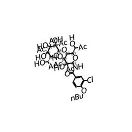 CCCCOc1ccc(C(=O)N[C@@H]2O[C@H](C(O)C(C)=O)[C@@H](O[C@@H]3O[C@H](C(O)C(C)=O)[C@](O)(C(C)=O)[C@@](O)(C(C)=O)[C@]3(O)C(C)=O)[C@@](O)(C(C)=O)[C@]2(O)C(C)=O)cc1Cl